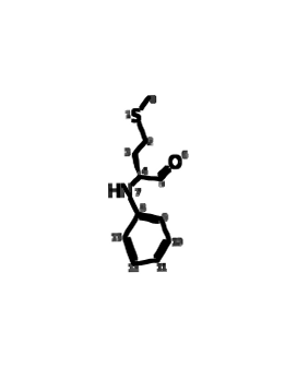 CSCC[C@@H](C=O)Nc1ccccc1